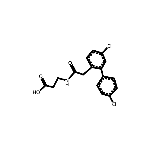 O=C(O)CCNC(=O)Cc1ccc(Cl)cc1-c1ccc(Cl)cc1